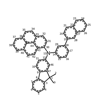 CC1(C)c2ccccc2-c2ccc(N(c3cccc(-c4ccc5ccccc5c4)c3)c3ccc4ccc5cccc6ccc3c4c56)cc21